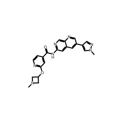 CN1CC(Oc2cc(C(=O)Nc3cc4cc(-c5cnn(C)c5)cnc4cn3)ccn2)C1